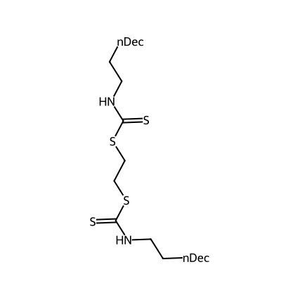 CCCCCCCCCCCCNC(=S)SCCSC(=S)NCCCCCCCCCCCC